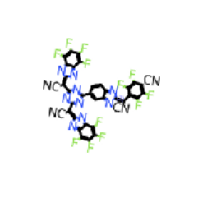 N#CC(=C1N=c2c(F)c(F)c(F)c(F)c2=N1)c1nc(C(C#N)=C2N=c3c(F)c(F)c(F)c(F)c3=N2)nc(-c2ccc3c(c2)=N/C(=C(\C#N)c2c(F)c(F)c(C#N)c(F)c2F)N=3)n1